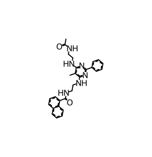 CC(=O)NCCNc1nc(-c2ccccc2)nc(NCCNC(=O)c2cccc3ccccc23)c1C